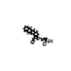 O=C1NCCN1CCOc1ccc2cc3cc4ccccc4cc3cc2c1C#[N+][O-]